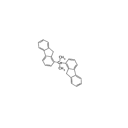 [CH3][Ge]([CH3])([c]1cccc2c1Cc1ccccc1-2)[c]1cccc2c1Cc1ccccc1-2